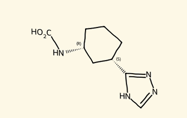 O=C(O)N[C@@H]1CCC[C@H](c2nnc[nH]2)C1